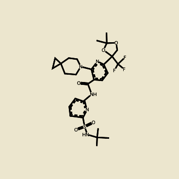 CC(C)(C)NS(=O)(=O)c1cccc(NC(=O)c2ccc(C3(C(F)(F)F)COC(C)(C)O3)nc2N2CCC3(CC2)CC3)n1